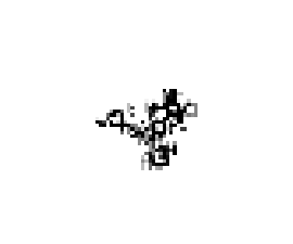 CCN1CC[C@H](CF)[C@](C)(COc2nc(N3C[C@H]4CC[C@@H](C3)N4)c3cnc(-c4c(C#N)c(N)cc(Cl)c4C(F)(F)F)c(F)c3n2)C1